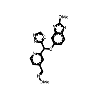 CO/N=C/c1ccnc(C(Oc2ccc3nc(OC)sc3c2)c2nnco2)c1